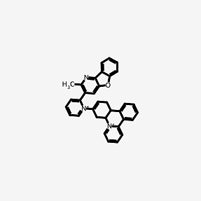 Cc1nc2c(cc1-c1cccc[n+]1C1=CCC3c4ccccc4-c4cccc[n+]4C3C1)oc1ccccc12